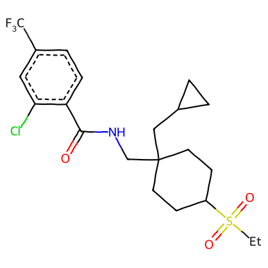 CCS(=O)(=O)C1CCC(CNC(=O)c2ccc(C(F)(F)F)cc2Cl)(CC2CC2)CC1